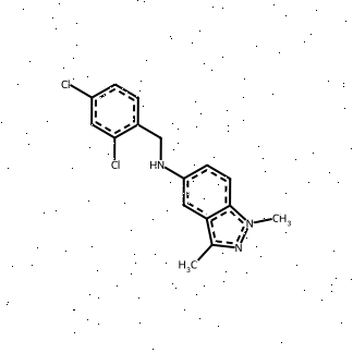 Cc1nn(C)c2ccc(NCc3ccc(Cl)cc3Cl)cc12